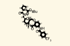 CN1C(=O)c2cc(NC(=O)c3ccc(C(F)(F)F)cc3)ccc2OC[C@@H]2O[C@H](CNC(=O)[C@@H]3CCCN3C(=O)OC(C)(C)C)CC[C@@H]21